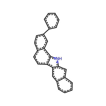 c1ccc(-c2ccc3ccc4c5cc6ccccc6cc5[nH]c4c3c2)cc1